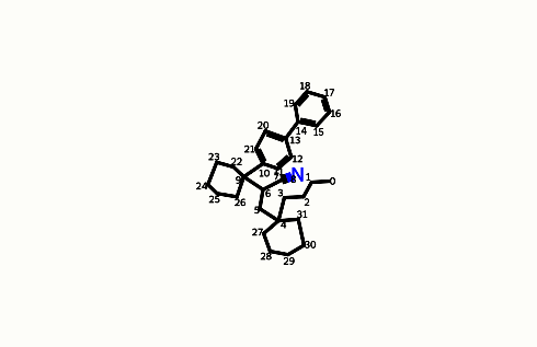 CCCCC1(CC(C#N)C2(c3ccc(-c4ccccc4)cc3)CCCCC2)CCCCC1